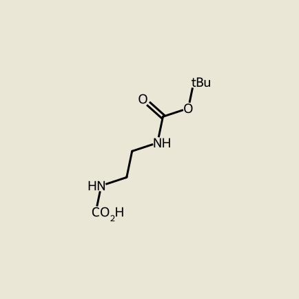 CC(C)(C)OC(=O)NCCNC(=O)O